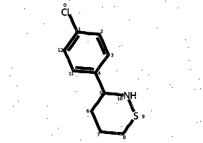 Clc1ccc(C2CCCSN2)cc1